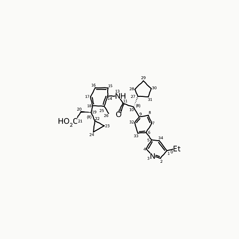 CCc1cncc(-c2ccc([C@H](C(=O)Nc3cccc([C@H](CC(=O)O)C4CC4)c3C)C3CCCC3)cc2)c1